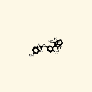 CCc1ccc(Oc2nc3ccc(N=O)cc3s2)cc1C1=C(O)[C@@H]2CC[C@](C)(C1=O)C2(C)C